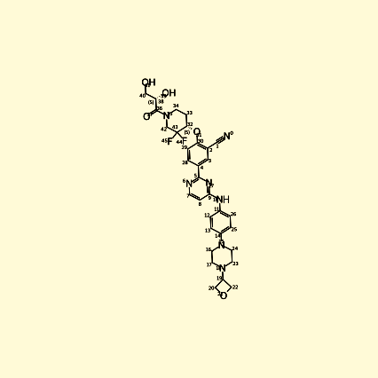 N#Cc1cc(-c2nccc(Nc3ccc(N4CCN(C5COC5)CC4)cc3)n2)ccc1O[C@H]1CCN(C(=O)[C@@H](O)CO)CC1(F)F